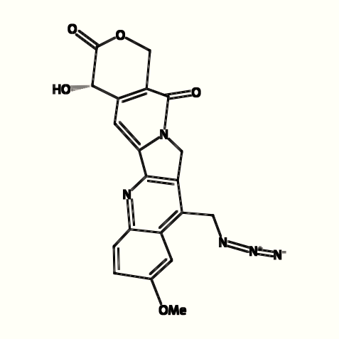 COc1ccc2nc3c(c(CN=[N+]=[N-])c2c1)Cn1c-3cc2c(c1=O)COC(=O)[C@H]2O